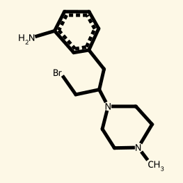 CN1CCN(C(CBr)Cc2cccc(N)c2)CC1